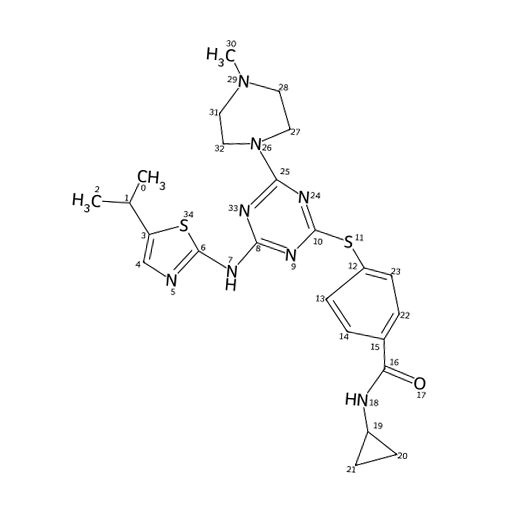 CC(C)c1cnc(Nc2nc(Sc3ccc(C(=O)NC4CC4)cc3)nc(N3CCN(C)CC3)n2)s1